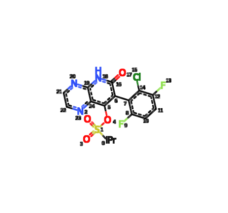 CC(C)S(=O)(=O)Oc1c(-c2c(F)ccc(F)c2Cl)c(=O)[nH]c2nccnc12